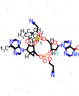 Cc1ncnc2c1ncn2[C@H]1C(O[Si](C)(C)C(C)(C)C)[C@@H]2OP(=S)(OCCC#N)OC[C@H]3O[C@@H](n4cnc5c(=O)[nH]cnc54)[C@H](F)[C@@H]3OP(=O)(OCCC#N)OCC23C[C@H]13